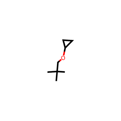 CC(C)(C)COC1CC1